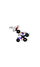 CCOC(C(=O)O)C(CC)c1ccc(OCC(C)n2c(-c3ccc(F)cc3)c(-c3ccccc3)c(C(=O)Nc3ccccc3)c2C(C)C)cc1